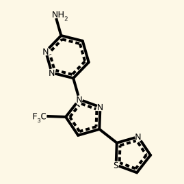 Nc1ccc(-n2nc(-c3nccs3)cc2C(F)(F)F)nn1